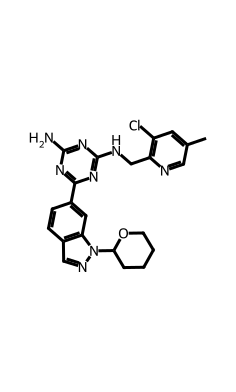 Cc1cnc(CNc2nc(N)nc(-c3ccc4cnn(C5CCCCO5)c4c3)n2)c(Cl)c1